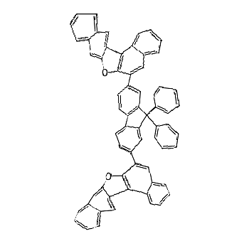 c1ccc(C2(c3ccccc3)c3cc(-c4cc5ccccc5c5c4oc4cc6ccccc6cc45)ccc3-c3ccc(-c4cc5ccccc5c5c4oc4cc6ccccc6cc45)cc32)cc1